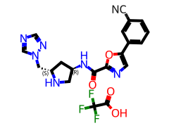 N#Cc1cccc(-c2cnc(C(=O)N[C@H]3CN[C@H](Cn4cncn4)C3)o2)c1.O=C(O)C(F)(F)F